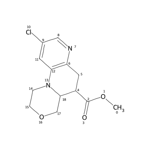 COC(=O)C1Cc2ncc(Cl)cc2N2CCOCC12